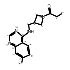 O=C(CCl)N1CC(CNc2ncnc3cc(F)ccc23)C1